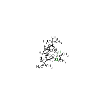 C[SiH](C)[Ti]([Cl])([Cl])([CH]1C=C(C(C)(C)C)C=C1C(C)(C)C)[CH]1C=C(C(C)(C)C)C=C1C(C)(C)C